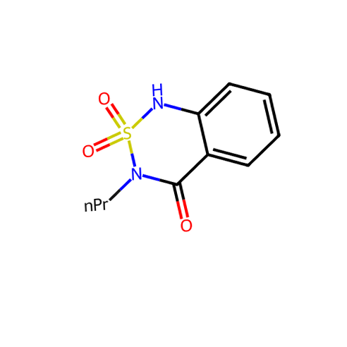 CCCN1C(=O)c2ccccc2NS1(=O)=O